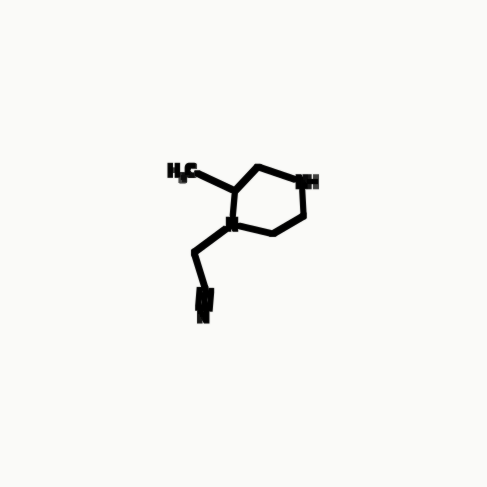 CC1CNCCN1CC#N